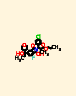 CCCOC(=O)[C@@H](C)C(c1ccc(Cl)cc1)N1C(=O)c2cc([C@](O)(CC)C3CCOCC3)cc(F)c2C1O